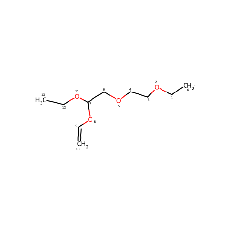 [CH2]COCCOCC(OC=C)OCC